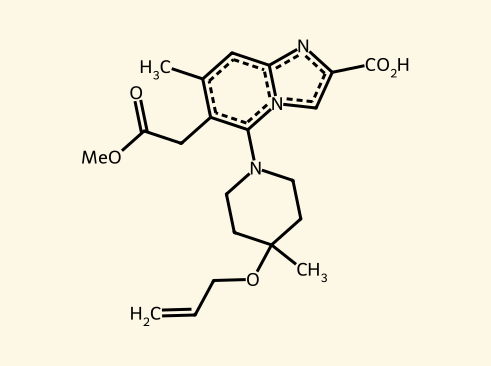 C=CCOC1(C)CCN(c2c(CC(=O)OC)c(C)cc3nc(C(=O)O)cn23)CC1